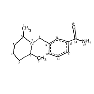 CC1CCCC(C)N1Cc1cccc(C(N)=O)c1